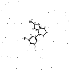 Fc1cc(F)cc(C2CCCc3nc(Br)cn32)c1